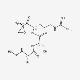 CC(C)[C@H](NSS)C(=O)N[C@@H](CO)C(=O)N[C@@H](CCCNC(=N)N)C(=O)[C@@]1(C)CO1